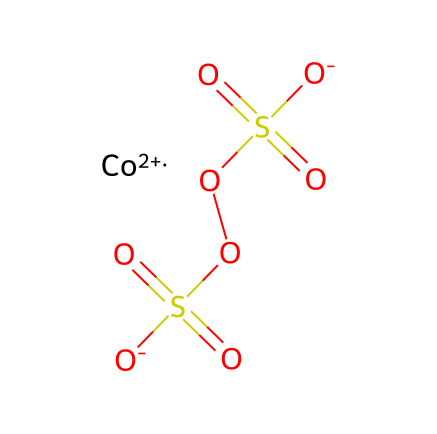 O=S(=O)([O-])OOS(=O)(=O)[O-].[Co+2]